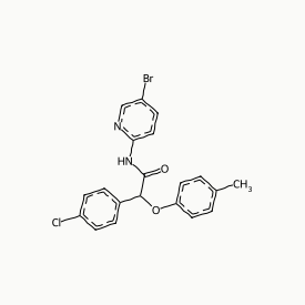 Cc1ccc(OC(C(=O)Nc2ccc(Br)cn2)c2ccc(Cl)cc2)cc1